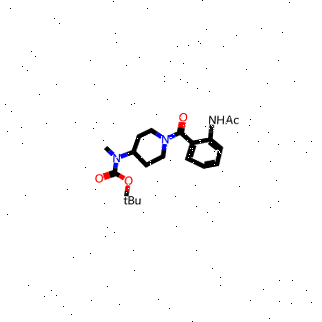 CC(=O)Nc1ccccc1C(=O)N1CCC(N(C)C(=O)OC(C)(C)C)CC1